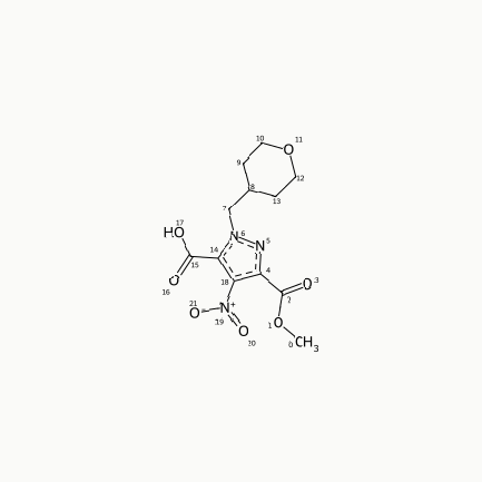 COC(=O)c1nn(CC2CCOCC2)c(C(=O)O)c1[N+](=O)[O-]